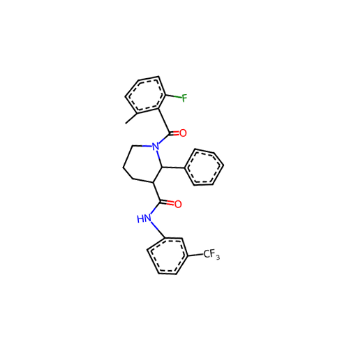 Cc1cccc(F)c1C(=O)N1CCCC(C(=O)Nc2cccc(C(F)(F)F)c2)C1c1ccccc1